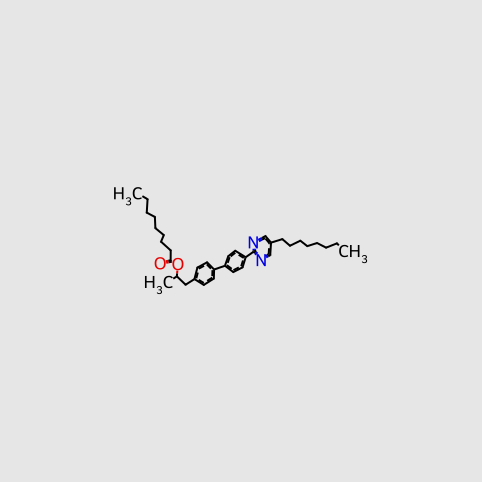 CCCCCCCCC(=O)OC(C)Cc1ccc(-c2ccc(-c3ncc(CCCCCCCC)cn3)cc2)cc1